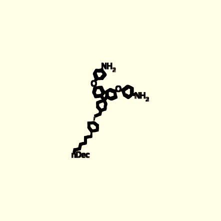 CCCCCCCCCCCCCCCC[C@H]1CC[C@H](CCC2CCC(c3ccc(Oc4ccc(N)cc4)cc3)(c3ccc(Oc4ccc(N)cc4)cc3)CC2)CC1